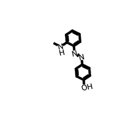 CNc1ccccc1N=Nc1ccc(O)cc1